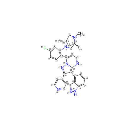 CN1C[C@@H]2C[C@H]1CN2c1cc(F)ccc1-c1ccnc2c(-c3cccc4[nH]ncc34)c(-c3ccncc3)nn12